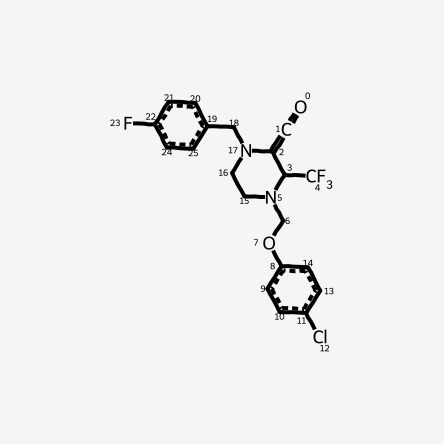 O=C=C1C(C(F)(F)F)N(COc2ccc(Cl)cc2)CCN1Cc1ccc(F)cc1